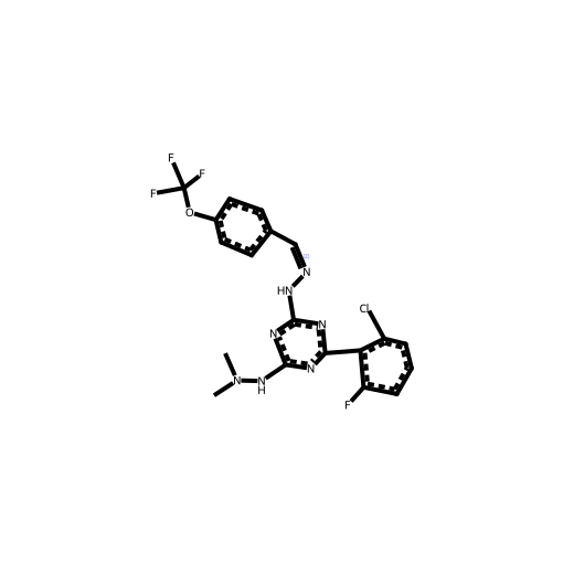 CN(C)Nc1nc(N/N=C\c2ccc(OC(F)(F)F)cc2)nc(-c2c(F)cccc2Cl)n1